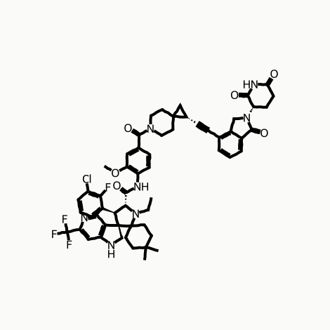 CCN1[C@@H](C(=O)Nc2ccc(C(=O)N3CCC4(CC3)C[C@@H]4C#Cc3cccc4c3CN([C@H]3CCC(=O)NC3=O)C4=O)cc2OC)[C@H](c2cccc(Cl)c2F)[C@]2(CNc3cc(C(F)(F)F)ncc32)C12CCC(C)(C)CC2